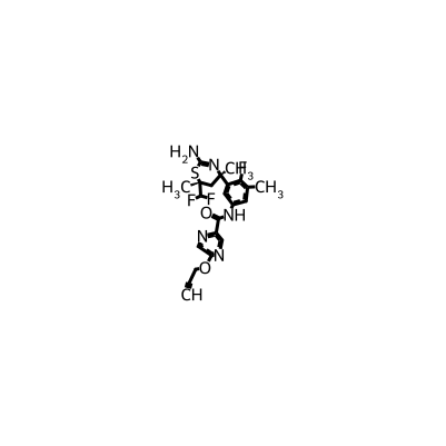 C#CCOc1cnc(C(=O)Nc2cc(C)c(F)c([C@]3(C)C[C@](C)(C(F)F)SC(N)=N3)c2)cn1